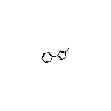 Cc1nc(-c2ccccc2)co1